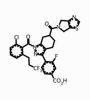 O=C(O)c1ccc(-c2nn(C(=O)c3c(Cl)cccc3CCC(F)(F)F)c3c2CCC(C(=O)N2Cc4ncsc4C2)C3)c(F)c1